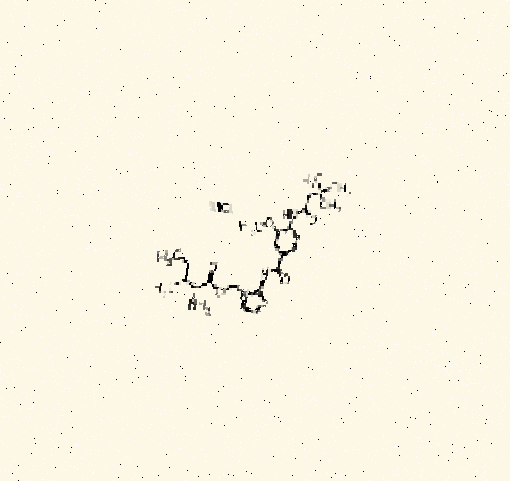 CC[C@H](C)[C@H](N)C(=O)OCn1ccs/c1=N\C(=O)c1ccc(NC(=O)CC(C)(C)C)c(OC)c1.Cl